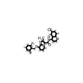 Cc1nc2c(OCc3c(F)cccc3F)cccn2c1C(=O)Nc1ccnc2ccc(Cl)cc12